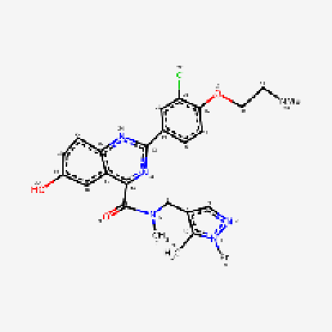 CCn1ncc(CN(C)C(=O)c2nc(-c3ccc(OCCNC)c(Cl)c3)nc3ccc(O)cc23)c1C